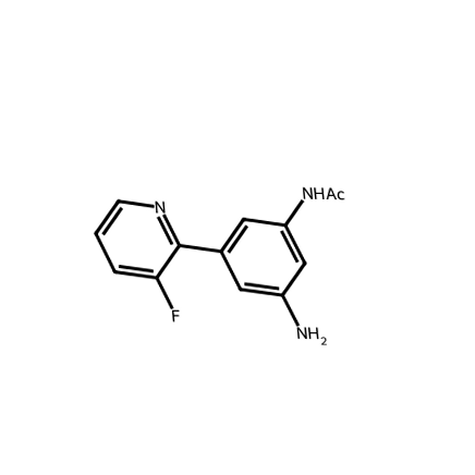 CC(=O)Nc1cc(N)cc(-c2ncccc2F)c1